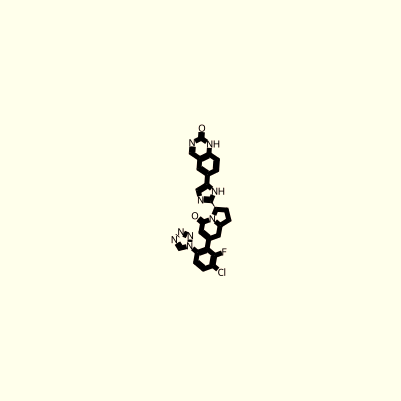 O=C1C=C(c2c(-n3cnnn3)ccc(Cl)c2F)CC2CC[C@@H](c3ncc(-c4ccc5[nH]c(=O)ncc5c4)[nH]3)N12